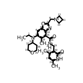 CCN(c1cc2oc(CN3CCC3)nc2c(C(=O)NCc2c(C)cc(C)[nH]c2=O)c1C)C1CCOCC1